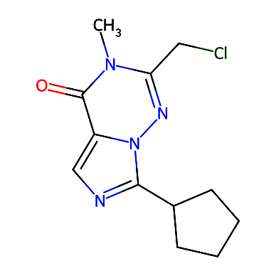 Cn1c(CCl)nn2c(C3CCCC3)ncc2c1=O